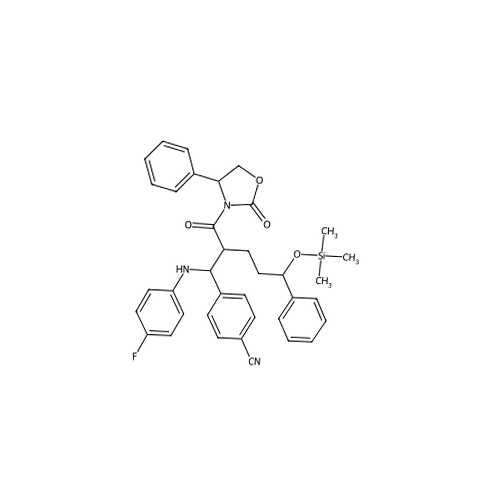 C[Si](C)(C)OC(CCC(C(=O)N1C(=O)OCC1c1ccccc1)C(Nc1ccc(F)cc1)c1ccc(C#N)cc1)c1ccccc1